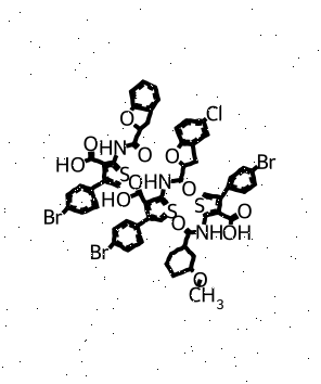 COC1CCCC(C(=O)Nc2scc(-c3ccc(Br)cc3)c2C(=O)O)C1.O=C(O)c1c(-c2ccc(Br)cc2)csc1NC(=O)C1Cc2cc(Cl)ccc2O1.O=C(O)c1c(-c2ccc(Br)cc2)csc1NC(=O)C1Cc2ccccc2O1